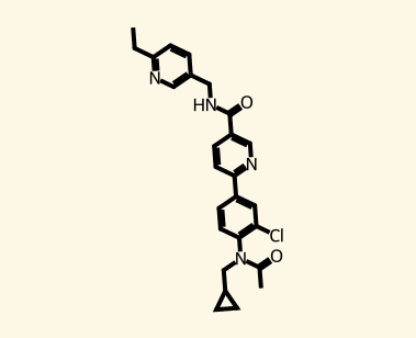 CCc1ccc(CNC(=O)c2ccc(-c3ccc(N(CC4CC4)C(C)=O)c(Cl)c3)nc2)cn1